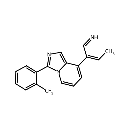 C/C=C(\C=N)c1cccn2c(-c3ccccc3C(F)(F)F)ncc12